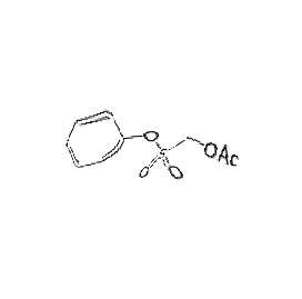 CC(=O)OCS(=O)(=O)Oc1ccccc1